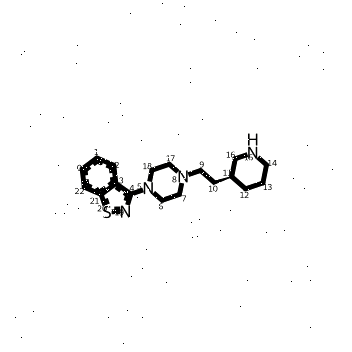 c1ccc2c(N3CCN(CC[C@@H]4CCCNC4)CC3)nsc2c1